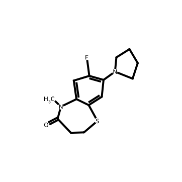 CN1C(=O)CCSc2cc(N3CCCC3)c(F)cc21